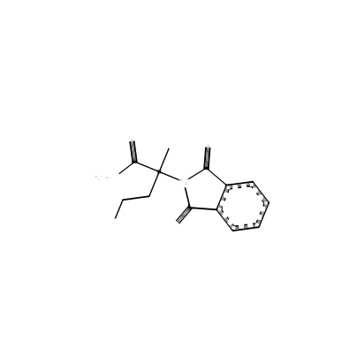 COC(=O)C(C)(CCC=O)N1C(=O)c2ccccc2C1=O